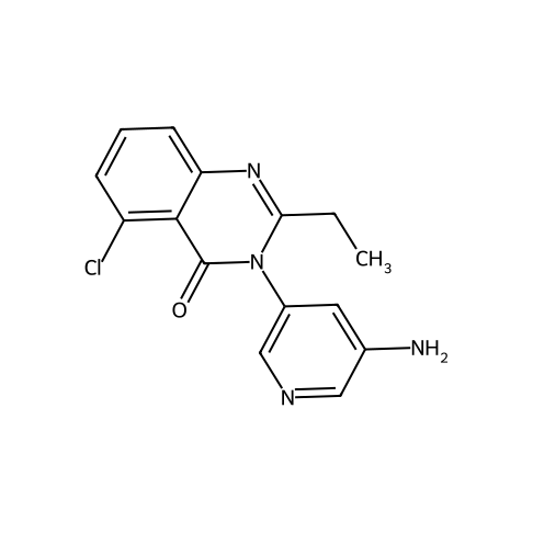 CCc1nc2cccc(Cl)c2c(=O)n1-c1cncc(N)c1